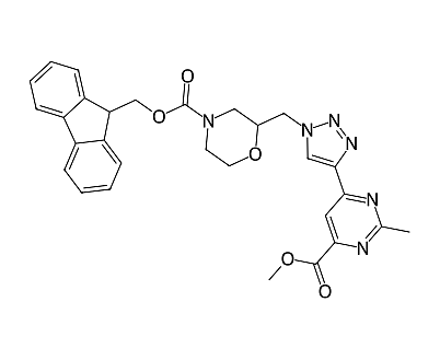 COC(=O)c1cc(-c2cn(CC3CN(C(=O)OCC4c5ccccc5-c5ccccc54)CCO3)nn2)nc(C)n1